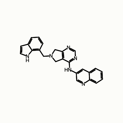 c1ccc2ncc(Nc3ncnc4c3CN(Cc3cccc5cc[nH]c35)C4)cc2c1